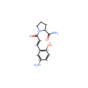 NC(=O)C1CCCN1C(=O)C=Cc1cc(N)ccc1O